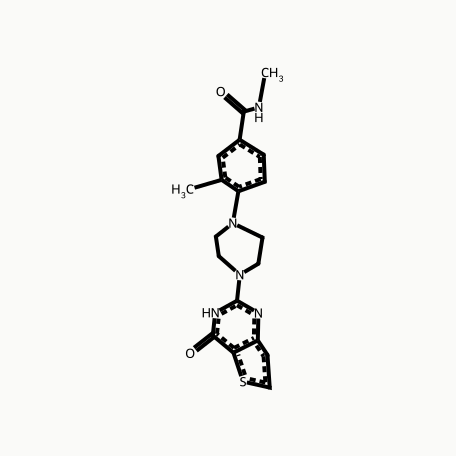 CNC(=O)c1ccc(N2CCN(c3nc4ccsc4c(=O)[nH]3)CC2)c(C)c1